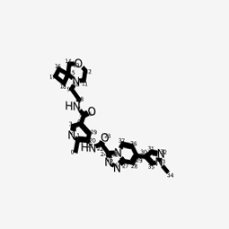 Cc1ncc(C(=O)NCCN2CCOCC23CCC3)cc1NC(=O)c1nnc2cc(-c3cnn(C)c3)ccn12